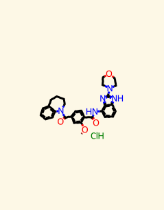 COc1cc(C(=O)N2CCCCc3ccccc32)ccc1C(=O)Nc1cccc2[nH]c(N3CCOCC3)nc12.Cl